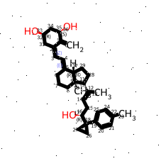 C=C1/C(=C\C=C2/CCC[C@]3(C)[C@@H](C(C)=CC[C@@H](O)C4(c5ccc(C)cc5)CC4)CC[C@@H]23)C[C@@H](O)C[C@@H]1O